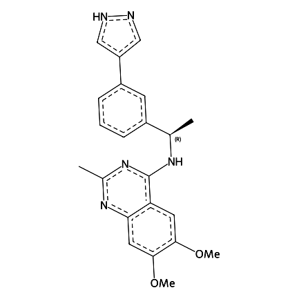 COc1cc2nc(C)nc(N[C@H](C)c3cccc(-c4cn[nH]c4)c3)c2cc1OC